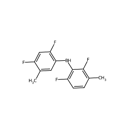 Cc1cc(Bc2c(F)ccc(C)c2F)c(F)cc1F